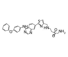 NCS(=O)(=O)CCNCc1csc(-c2ccc3c(Nc4ccc(Oc5ccccc5)cc4)ncnc3c2)n1